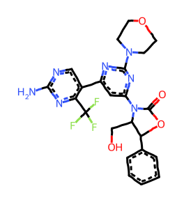 Nc1ncc(-c2cc(N3C(=O)OC(c4ccccc4)C3CO)nc(N3CCOCC3)n2)c(C(F)(F)F)n1